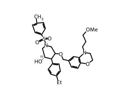 CCc1ccc(C2C(OCc3ccc4c(c3)N(CCCOC)CCO4)CN(S(=O)(=O)c3ccc(C)cc3)C[C@H]2O)cc1